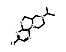 CC(C)N1CCN2c3ncc(Cl)nc3SCC2C1